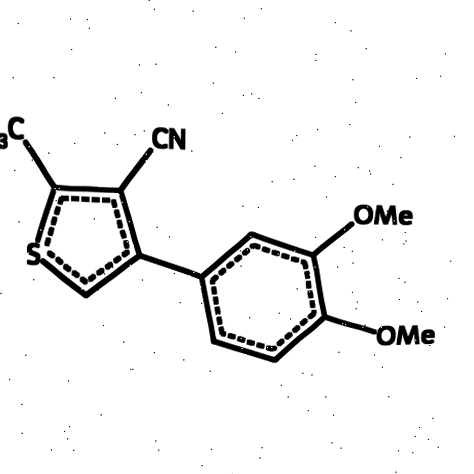 COc1ccc(-c2csc(C)c2C#N)cc1OC